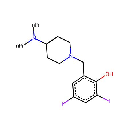 CCCN(CCC)C1CCN(Cc2cc(I)cc(I)c2O)CC1